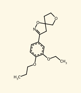 CCCOc1ccc(C2=NOC3(CCOC3)C2)cc1OCC